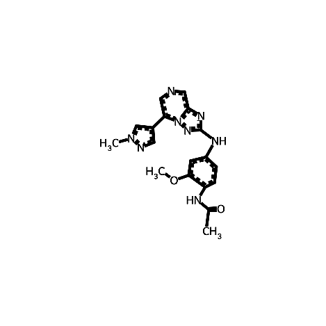 COc1cc(Nc2nc3cncc(-c4cnn(C)c4)n3n2)ccc1NC(C)=O